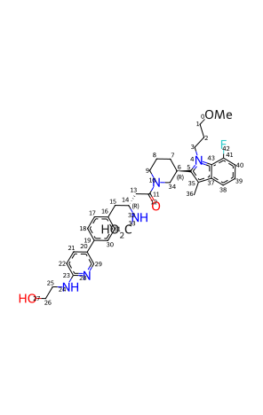 COCCCn1c([C@@H]2CCCN(C(=O)C[C@@H](Cc3ccc(-c4ccc(NCCO)nc4)cc3)NC(=O)O)C2)c(C)c2cccc(F)c21